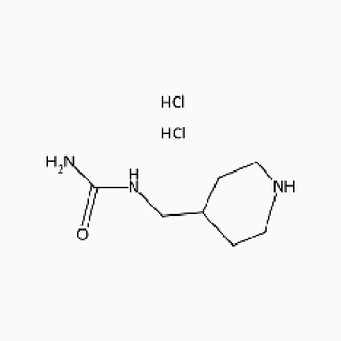 Cl.Cl.NC(=O)NCC1CCNCC1